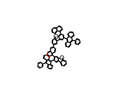 c1ccc(-c2c3ccccc3c(-c3cc(-c4cccc5ccccc45)c4oc5ccc(-c6ccc7c(-c8cc9oc%10ccccc%10c9cc8-c8c9ccccc9c(-c9ccccc9)c9ccccc89)cccc7c6)cc5c4c3)c3ccccc23)cc1